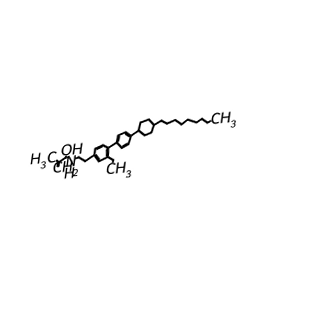 C=C(C)C(O)NCCc1ccc(-c2ccc(C3CCC(CCCCCCCCC)CC3)cc2)c(CC)c1